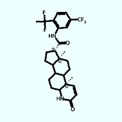 CC(F)(F)c1ccc(C(F)(F)F)cc1NC(=O)[C@H]1CCC2C3CCC4NC(=O)C=C[C@]4(C)C3CC[C@@]21C